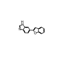 c1ccc2oc(-c3ccc4nc[nH]c4c3)cc2c1